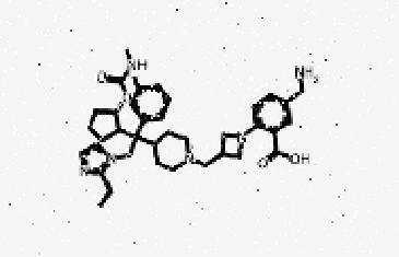 CCc1nccn1CC(c1cccc(F)c1)(C1CCN(CC2CN(c3ccc(CN)cc3C(=O)O)C2)CC1)C1CCCC1OC(=O)NC